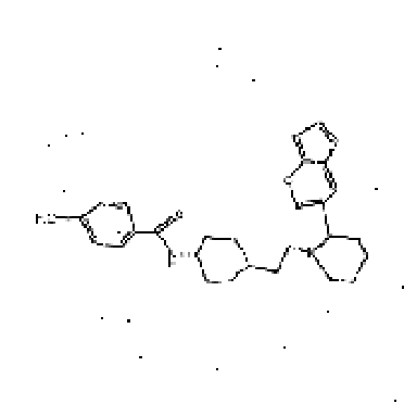 O=C(N[C@H]1CC[C@H](CCN2CCCCC2c2coc3cccc-3c2)CC1)c1ccc(C(F)(F)F)cc1